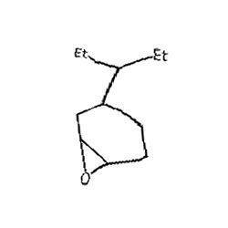 CCC(CC)C1CCC2OC2C1